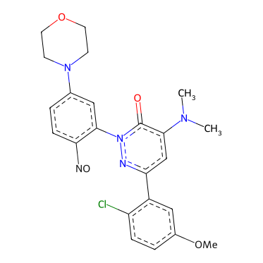 COc1ccc(Cl)c(-c2cc(N(C)C)c(=O)n(-c3cc(N4CCOCC4)ccc3N=O)n2)c1